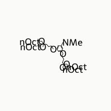 CCCCCCCCOC(CCCOc1cc(CNC)cc(OCCCC(OCCCCCCCC)OCCCCCCCC)c1)OCCCCCCCC